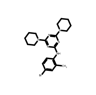 Cc1cc(Br)ccc1Nc1nc(N2CCCCC2)nc(N2CCCCC2)n1